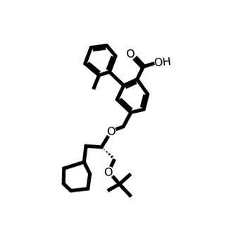 Cc1ccccc1-c1cc(CO[C@H](COC(C)(C)C)CC2CCCCC2)ccc1C(=O)O